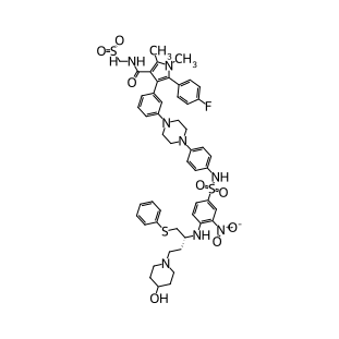 Cc1c(C(=O)NC[SH](=O)=O)c(-c2cccc(N3CCN(c4ccc(NS(=O)(=O)c5ccc(N[C@H](CCN6CCC(O)CC6)CSc6ccccc6)c([N+](=O)[O-])c5)cc4)CC3)c2)c(-c2ccc(F)cc2)n1C